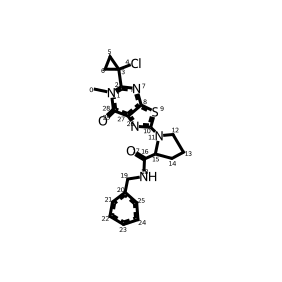 Cn1c(C2(Cl)CC2)nc2sc(N3CCCC3C(=O)NCc3ccccc3)nc2c1=O